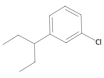 CCC(CC)c1cccc(Cl)c1